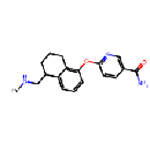 CC(C)NCC1CCCc2c(Oc3ccc(C(N)=O)cn3)cccc21